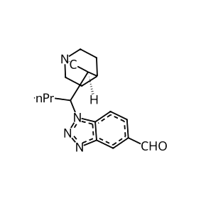 CC[CH]C([C@H]1CN2CCC1CC2)n1nnc2cc(C=O)ccc21